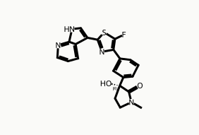 CN1CC[C@@](O)(c2cccc(-c3nc(-c4c[nH]c5ncccc45)sc3F)c2)C1=O